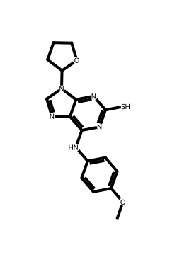 COc1ccc(Nc2nc(S)nc3c2ncn3C2CCCO2)cc1